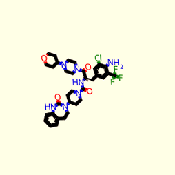 Nc1c(Cl)cc(C[C@@H](NC(=O)N2CCC(N3CCc4ccccc4NC3=O)CC2)C(=O)N2CCN(C3CCOCC3)CC2)cc1C(F)(F)F